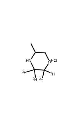 Cl.[2H]C1([2H])NC(C)COC1([2H])[2H]